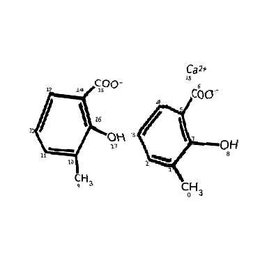 Cc1cccc(C(=O)[O-])c1O.Cc1cccc(C(=O)[O-])c1O.[Ca+2]